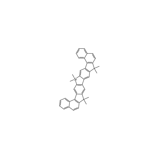 CC1(C)c2cc3c(cc2-c2c1ccc1ccccc21)[Si](C)(C)c1cc2c(cc1-3)C(C)(C)c1ccc3ccccc3c1-2